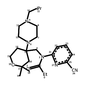 CCC(=O)N(CC1(N2CCN(CC(C)C)CC2)CCOC(C)(C)C1)c1cccc(C#N)n1